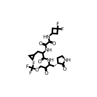 O=C(NC1CC(F)(F)C1)C(=O)NC(CC1CC1)C(=O)NC(C[C@@H]1CCNC1=O)C(=O)COC(F)(F)F